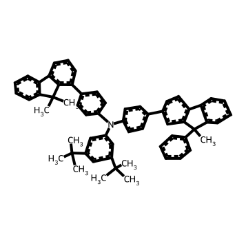 CC(C)(C)c1cc(N(c2ccc(-c3ccc4c(c3)C(C)(c3ccccc3)c3ccccc3-4)cc2)c2ccc(-c3cccc4c3C(C)(C)c3ccccc3-4)cc2)cc(C(C)(C)C)c1